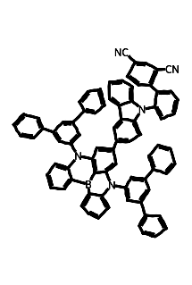 N#Cc1ccc(-c2ccccc2-n2c3ccccc3c3cc(-c4cc5c6c(c4)N(c4cc(-c7ccccc7)cc(-c7ccccc7)c4)c4ccccc4B6c4ccccc4N5c4cc(-c5ccccc5)cc(-c5ccccc5)c4)ccc32)c(C#N)c1